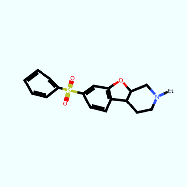 CCN1CCC2c3ccc(S(=O)(=O)c4ccccc4)cc3OC2C1